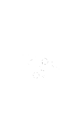 Cc1ccc(C(=O)NC2CC2)cc1NC(=O)c1cc(OC2CCN(C(=O)OC(C)(C)C)C2)ccc1[N+](=O)[O-]